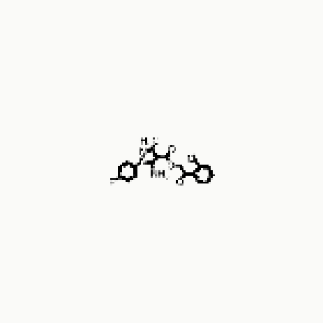 Cc1nn(-c2ccc(F)cc2)c(N)c1C(=O)OCC(=O)c1ccccc1Cl